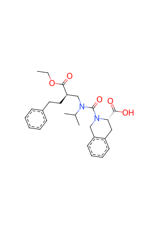 CCOC(=O)[C@H](CCc1ccccc1)CN(C(=O)N1Cc2ccccc2C[C@H]1C(=O)O)C(C)C